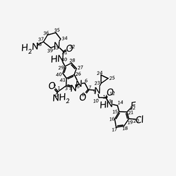 NC(=O)c1nn(CC(=O)N(CC(=O)NCc2cccc(Cl)c2F)C2CC2)c2ccc(NC(=O)N3CCCC(N)C3)cc12